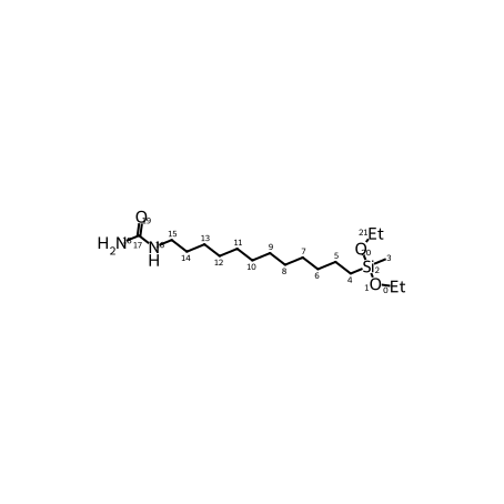 CCO[Si](C)(CCCCCCCCCCCCNC(N)=O)OCC